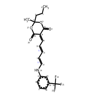 CCCC1(C)OC(=O)C(=C/C=C/C=C/Nc2cccc(C(F)(F)F)c2)C(=O)O1